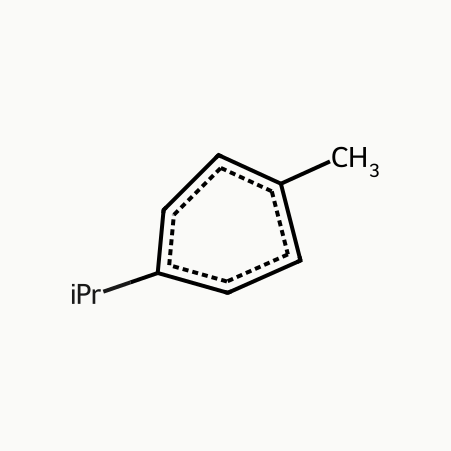 [CH2]C(C)c1ccc(C)cc1